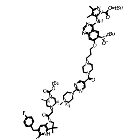 Cc1nn(C(=O)OC(C)(C)C)c(Nc2ncnc3cc(OCCCN4CCN(C(=O)c5cnc(N6CCN(C[C@H]7CN(C(=O)OC(C)(C)C)[C@H](C)CN7CC(=O)N7CC(C)(C)c8[nH]c(=O)c(Cc9ccc(F)cc9)cc87)[C@H](C)C6)nc5)CC4)c([S+]([O-])C(C)(C)C)cc23)c1C